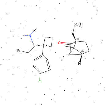 CC(C)CC(N(C)C)C1(c2ccc(Cl)cc2)CCC1.CC1(C)[C@@H]2CC[C@@]1(CS(=O)(=O)O)C(=O)C2